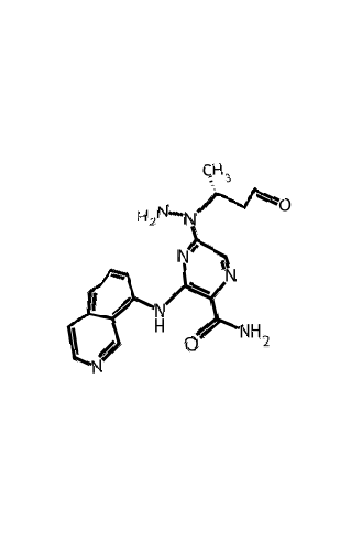 C[C@H](CC=O)N(N)c1cnc(C(N)=O)c(Nc2cccc3ccncc23)n1